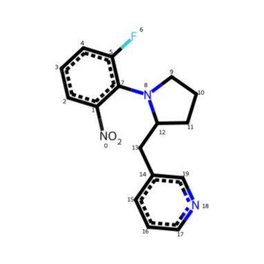 O=[N+]([O-])c1cccc(F)c1N1CCCC1Cc1cccnc1